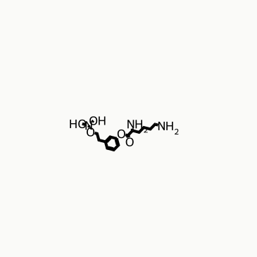 NCCCCC(N)C(=O)Oc1cccc(CCON(O)O)c1